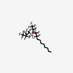 CCCCCCCCC(F)(O[Si](OC(F)(F)C(F)(F)F)(OC(F)(F)C(F)(F)F)C(F)(F)CF)C(F)(F)F